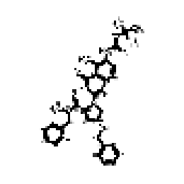 Cc1c(NC(=O)OC(C)(C)C)ccc2nc(N3C[C@H](OCc4ccccc4)C[C@H]3C(=O)N(C)Cc3ccccn3)oc(=O)c12